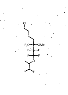 COC(CCCCCl)(C(F)(F)F)C(F)(F)C(F)(F)OC(F)=C(F)F